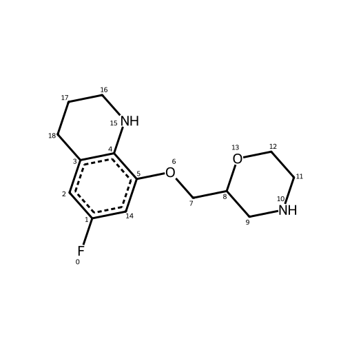 Fc1cc2c(c(OCC3CNCCO3)c1)NCCC2